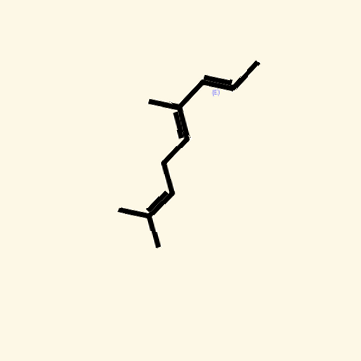 C/C=C/C(C)=CCC=C(C)C